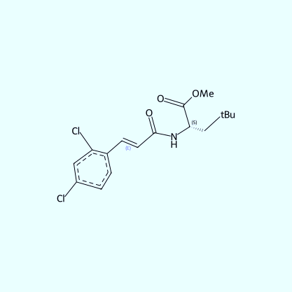 COC(=O)[C@H](CC(C)(C)C)NC(=O)/C=C/c1ccc(Cl)cc1Cl